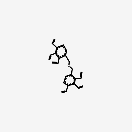 C=Cc1ccc(COCc2ccc(C=C)c(C=C)c2C=C)c(C=C)c1C=C